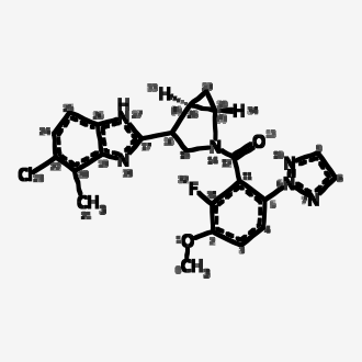 COc1ccc(-n2nccn2)c(C(=O)N2CC(c3nc4c(C)c(Cl)ccc4[nH]3)[C@H]3C[C@@H]32)c1F